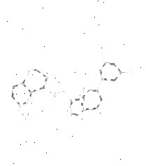 COc1ccc2nccc(NCc3nnc4ccc(-c5cc(F)c(F)c(F)c5)nn34)c2n1